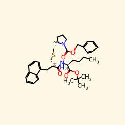 CCCC[C@H](NC(=O)[C@@H](CSC[C@@H]1CCCN1C(=O)OCc1ccccc1)Cc1cccc2ccccc12)C(=O)OC(C)(C)C